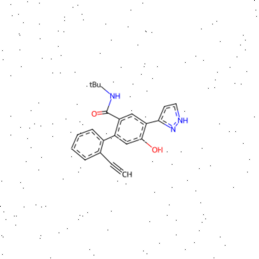 C#Cc1ccccc1-c1cc(O)c(-c2cc[nH]n2)cc1C(=O)NC(C)(C)C